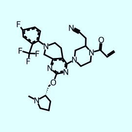 C=CC(=O)N1CCN(c2nc(OC[C@@H]3CCCN3C)nc3c2CCN(c2ccc(F)cc2C(F)(F)F)C3)CC1CC#N